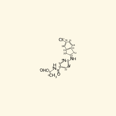 CC(C=O)NC(=O)c1cnc(NC2Cc3ccc(Cl)cc3C2)nc1